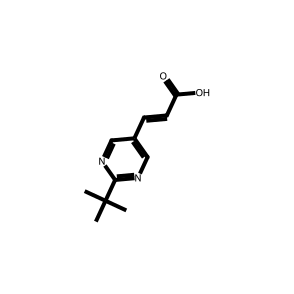 CC(C)(C)c1ncc(C=CC(=O)O)cn1